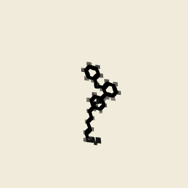 O=C(O)/C=C/CCCC12CCC(c3ccccc3Oc3ccccc3)(CC1)OC2